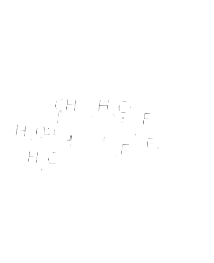 C=C/C(=C\C=C(/C)C(F)(F)F)C(C)C